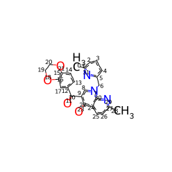 Cc1cccc(Cn2cc(C(=O)c3ccc4c(c3)OCCO4)c(=O)c3ccc(C)nc32)n1